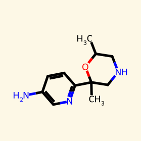 CC1CNCC(C)(c2ccc(N)cn2)O1